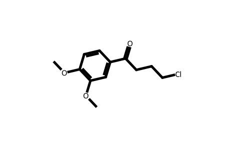 COc1ccc(C(=O)CCCCl)cc1OC